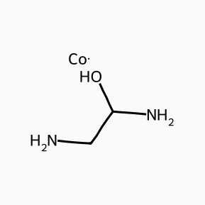 NCC(N)O.[Co]